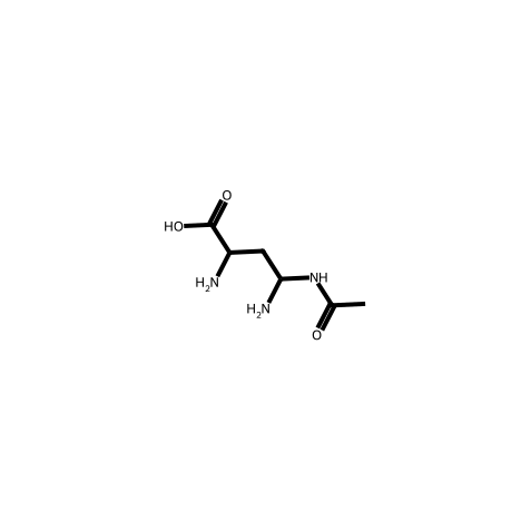 CC(=O)NC(N)CC(N)C(=O)O